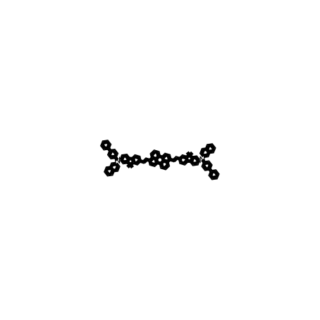 CC1(C)C2=CC(/C=C/c3ccc4c5cccc6c(/C=C/c7ccc8c(c7)C(C)(C)c7cc(N(c9ccc(-c%10ccccc%10)cc9)c9ccc%10ccccc%10c9)ccc7-8)ccc(c7cccc3c74)c65)CC=C2c2ccc(N(c3ccc(-c4ccccc4)cc3)c3ccc4ccccc4c3)cc21